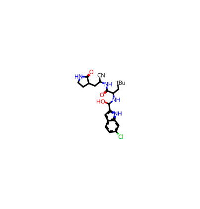 CC(C)(C)CC(NC(O)c1cc2ccc(Cl)cc2[nH]1)C(=O)NC(C#N)CC1CCNC1=O